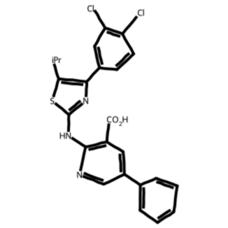 CC(C)c1sc(Nc2ncc(-c3ccccc3)cc2C(=O)O)nc1-c1ccc(Cl)c(Cl)c1